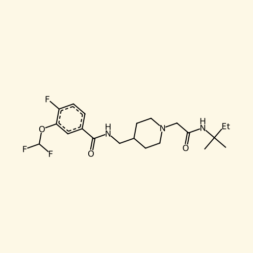 CCC(C)(C)NC(=O)CN1CCC(CNC(=O)c2ccc(F)c(OC(F)F)c2)CC1